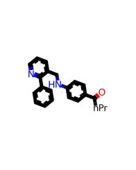 CCCC(=O)c1ccc(NCc2cccnc2-c2ccccc2)cc1